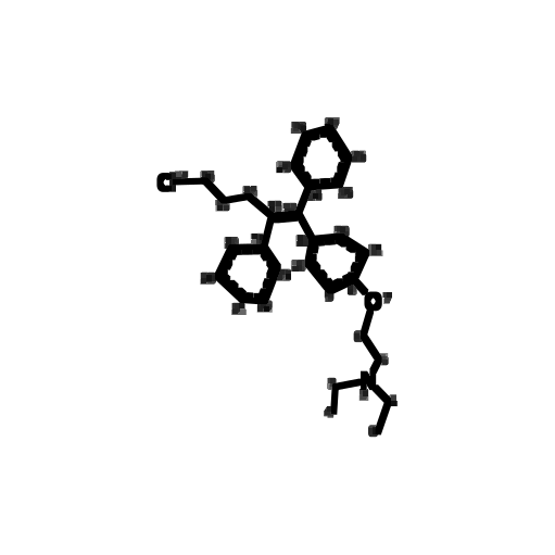 CCN(CC)CCOc1ccc(C(=C(CCCCl)c2ccccc2)c2ccccc2)cc1